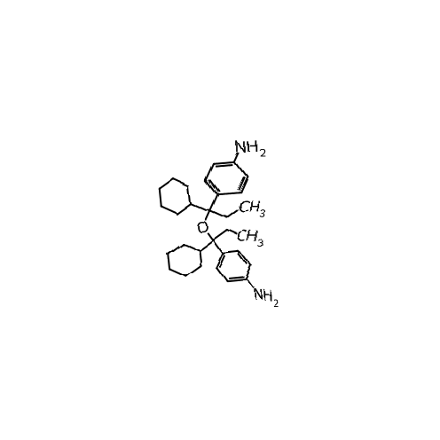 CCC(OC(CC)(c1ccc(N)cc1)C1CCCCC1)(c1ccc(N)cc1)C1CCCCC1